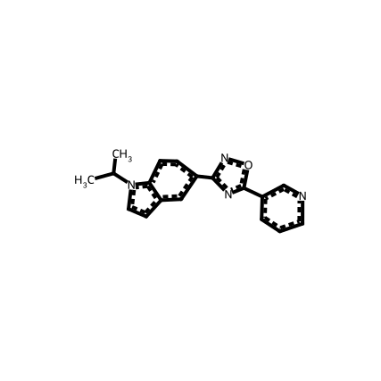 CC(C)n1ccc2cc(-c3noc(-c4cccnc4)n3)ccc21